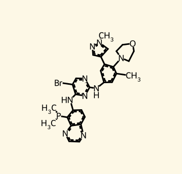 Cc1cc(Nc2ncc(Br)c(Nc3ccc4nccnc4c3P(C)C)n2)cc(-c2cnn(C)c2)c1N1CCOCC1